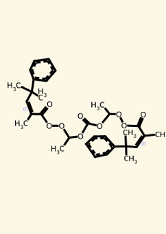 C/C(=C/C(C)(C)c1ccccc1)C(=O)OOC(C)OC(=O)OC(C)OOC(=O)/C(C)=C\C(C)(C)c1ccccc1